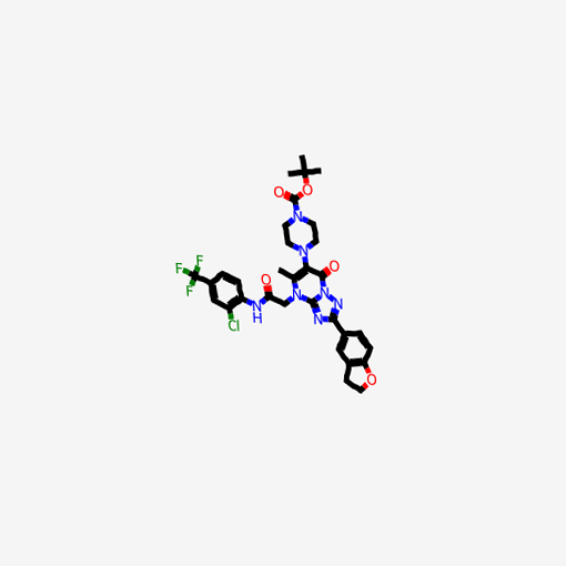 Cc1c(N2CCN(C(=O)OC(C)(C)C)CC2)c(=O)n2nc(-c3ccc4c(c3)CCO4)nc2n1CC(=O)Nc1ccc(C(F)(F)F)cc1Cl